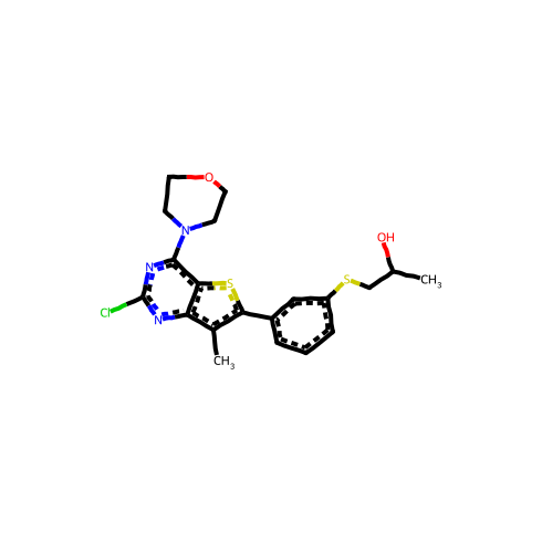 Cc1c(-c2cccc(SCC(C)O)c2)sc2c(N3CCOCC3)nc(Cl)nc12